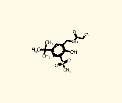 CC(C)(C)c1cc(CNC(=O)CCl)c(O)c(S(C)(=O)=O)c1